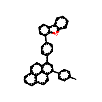 Cc1ccc(-c2cc(-c3ccc(-c4cccc5c4oc4ccccc45)cc3)c3ccc4cccc5ccc2c3c54)cc1